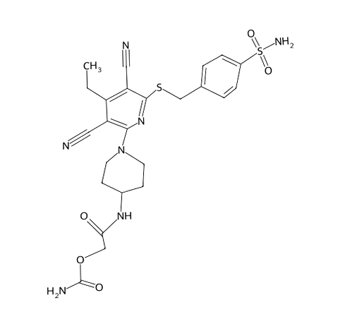 CCc1c(C#N)c(SCc2ccc(S(N)(=O)=O)cc2)nc(N2CCC(NC(=O)COC(N)=O)CC2)c1C#N